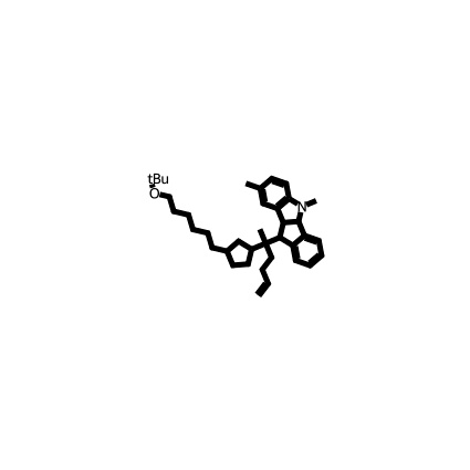 C=CCCC(C)(C1CCC(CCCCCCOC(C)(C)C)C1)C1c2ccccc2C2C1c1cc(C)ccc1N2C